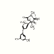 C[C@@H]1C(=O)N(C)C(=N)N[C@]1(C)c1cc(-c2cc(Cl)cc(C#N)c2)cs1